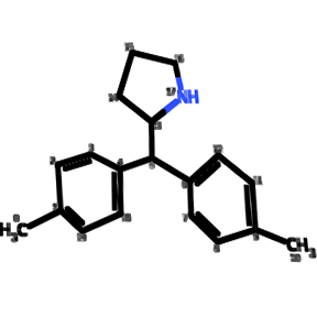 Cc1ccc(C(c2ccc(C)cc2)C2CCCN2)cc1